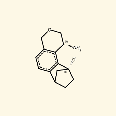 N[C@H]1COCc2ccc3c(c21)[C@H]1CCC3C1